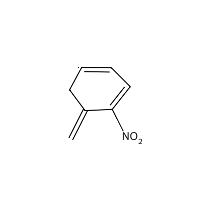 C=C1C[C]=CC=C1[N+](=O)[O-]